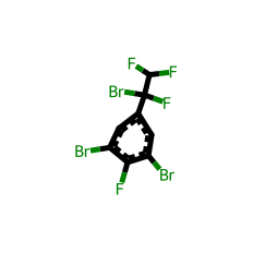 Fc1c(Br)cc(C(F)(Br)C(F)F)cc1Br